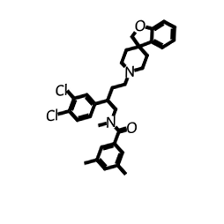 Cc1cc(C)cc(C(=O)N(C)CC(CCN2CCC3(CC2)COc2ccccc23)c2ccc(Cl)c(Cl)c2)c1